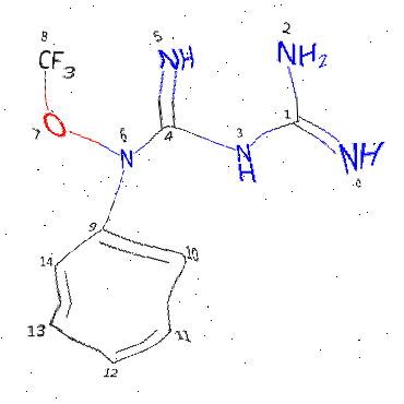 N=C(N)NC(=N)N(OC(F)(F)F)c1ccccc1